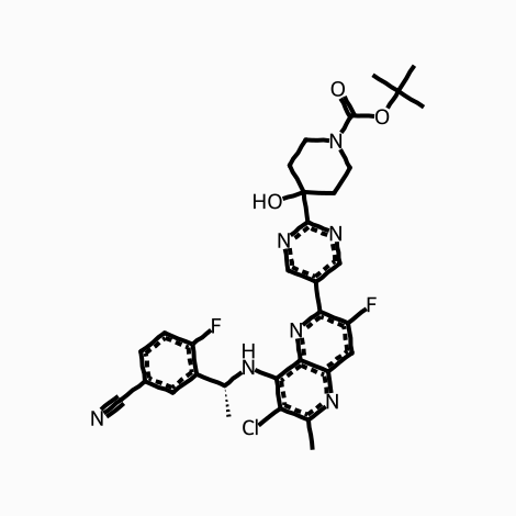 Cc1nc2cc(F)c(-c3cnc(C4(O)CCN(C(=O)OC(C)(C)C)CC4)nc3)nc2c(N[C@H](C)c2cc(C#N)ccc2F)c1Cl